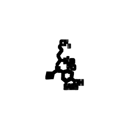 CSc1cc2c(cc1O)S(=O)(=O)N(C)C(CCCC(F)(F)F)CN2C12CC(C1)C2